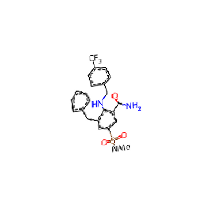 CNS(=O)(=O)c1cc(Cc2ccccc2)c(NCc2ccc(C(F)(F)F)cc2)c(C(N)=O)c1